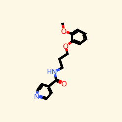 COc1c[c]ccc1OCCCNC(=O)c1ccncc1